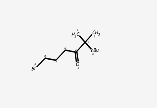 CCCCC(C)(C)C(=O)CCCBr